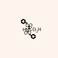 O=C(NC(C(=O)O)C(=O)OCc1ccccc1)OCc1ccccc1